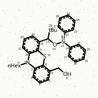 CCCCCCN1c2cccc(CO)c2Sc2c(C(O[SiH](c3ccccc3)c3ccccc3)C(C)(C)C)cccc21